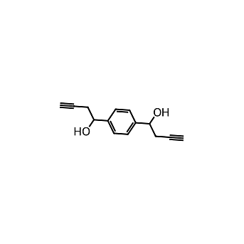 C#CCC(O)c1ccc(C(O)CC#C)cc1